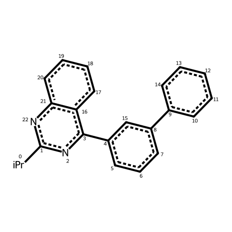 CC(C)c1nc(-c2cccc(-c3ccccc3)c2)c2ccccc2n1